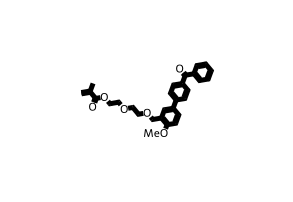 C=C(C)C(=O)OCCOCCOCc1cc(-c2ccc(C(=O)c3ccccc3)cc2)ccc1OC